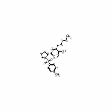 Cc1ccc(S(=O)(=O)N2CCC[C@H]2C(=O)N[C@@H](CCCCN)C(=O)O)cc1